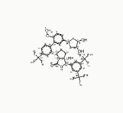 COc1ccc([C@H]2C[C@@H](O)[C@@H](O)C2)cc1-c1ccc(C(F)(F)F)cc1[C@@H]1CC[C@H]2[C@@H](c3cc(C(F)(F)F)cc(C(F)(F)F)c3)OC(=O)N12